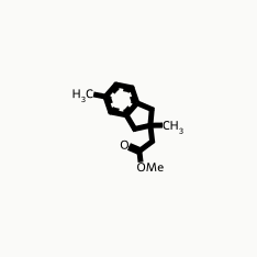 COC(=O)CC1(C)Cc2ccc(C)cc2C1